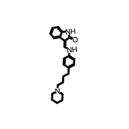 O=C1Nc2ccccc2C1=CNc1ccc(CCCCN2CCCCC2)cc1